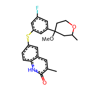 COC1(c2cc(F)cc(Sc3ccc4[nH]c(=O)c(C)cc4c3)c2)CCOC(C)C1